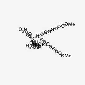 COCCOCCOCCOCCOCCOCCOCCOCCCN(CCCOCCOCCOCCOCCOCCOCCOCCOC)CCCc1cc(NC(=O)[C@H](C)NC(=O)[C@@H](NC(=O)OC(C)(C)C)C(C)C)ccc1COC(=O)Oc1ccc([N+](=O)[O-])cc1